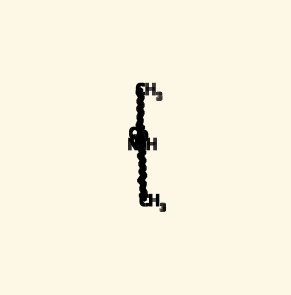 CCCCCCCCCCCCCCCC(=O)OC(=O)CCCCCCCCCCC.[NaH]